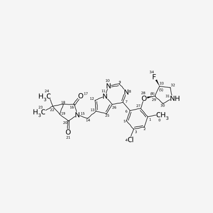 Cc1cc(Cl)cc(-c2ncnn3cc(CN4C(=O)C5C(C4=O)C5(C)C)cc23)c1O[C@@H]1CNC[C@@H]1F